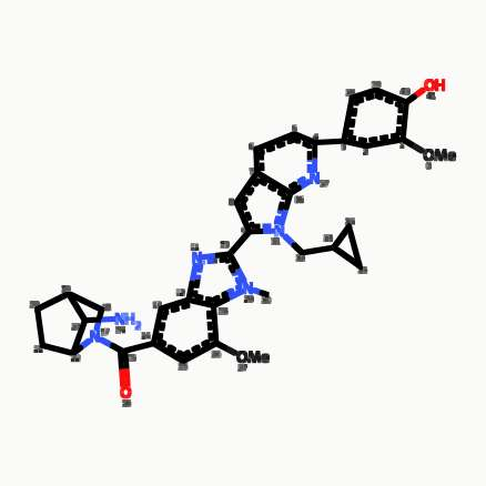 COc1cc(-c2ccc3cc(-c4nc5cc(C(=O)N6CC7CCC6C7N)cc(OC)c5n4C)n(CC4CC4)c3n2)ccc1O